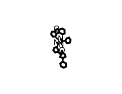 c1ccc(-c2ccc3oc4c(-c5nc(-c6ccccc6)nc(-c6cccc7oc8ccccc8c67)n5)cccc4c3c2)cc1